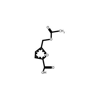 CC(=O)OCc1ccc(C(=O)O)o1